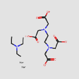 CCN(CC)CC.O=C([O-])CN(CCN(CC(=O)O)CC(=O)O)CC(=O)[O-].[Na+].[Na+]